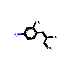 C=C/C(C)=C\c1ccc(N)cc1C